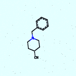 N#CC1CCN(Cc2ccccc2)CC1